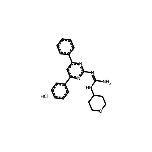 Cl.NC(=Nc1nc(-c2ccccc2)cc(-c2ccccc2)n1)NC1CCOCC1